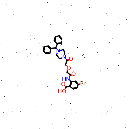 O=C(COCC(=O)N1CCN(C(c2ccccc2)c2ccccc2)CC1)Nc1cc(Br)ccc1C(=O)O